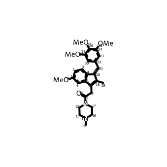 COc1ccc2c(c1)C(CC(=O)N1CCN(C)CC1)=C(C)/C2=C/c1cc(OC)c(OC)c(OC)c1